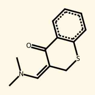 CN(C)C=C1CSc2ccccc2C1=O